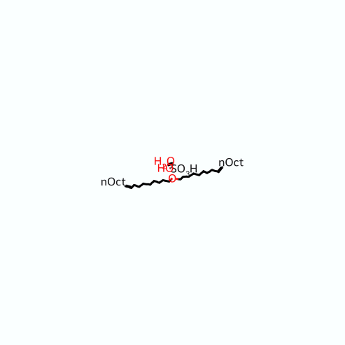 C=C.CCCCCCCC/C=C\CCCCCCCCOCCCCCCCC/C=C\CCCCCCCC.O.O=S(=O)(O)O